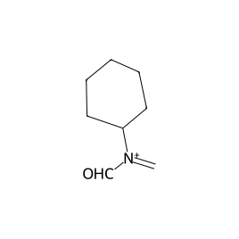 C=[N+](C=O)C1CCCCC1